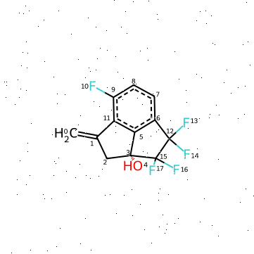 C=C1C[C@@]2(O)c3c(ccc(F)c31)C(F)(F)C2(F)F